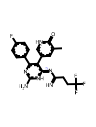 Cc1cc(-c2c(-c3ccc(F)cc3)nc(N)[nH]/c2=N\C(=N)CCC(F)(F)F)c[nH]c1=O